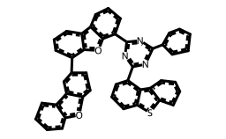 c1ccc(-c2nc(-c3cccc4c3oc3c(-c5ccc6oc7ccccc7c6c5)cccc34)nc(-c3cccc4sc5ccccc5c34)n2)cc1